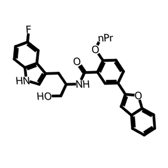 CCCOc1ccc(-c2cc3ccccc3o2)cc1C(=O)NC(CO)Cc1c[nH]c2ccc(F)cc12